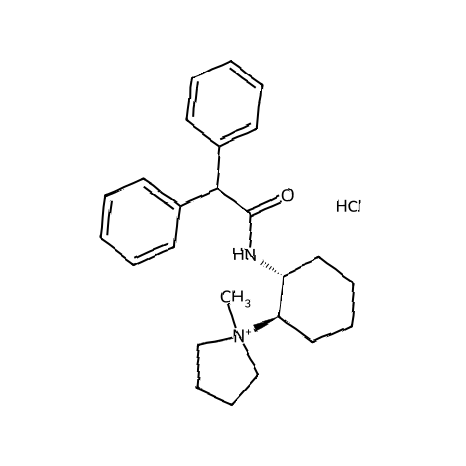 C[N+]1([C@@H]2CCCC[C@H]2NC(=O)C(c2ccccc2)c2ccccc2)CCCC1.Cl